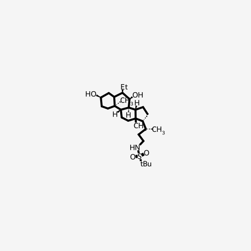 CC[C@@H]1C2C[C@H](O)CC[C@]2(C)[C@H]2CCC3(C)[C@@H]([C@H](C)CCNS(=O)(=O)C(C)(C)C)CC[C@H]3[C@@H]2[C@@H]1O